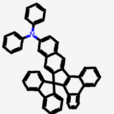 c1ccc(N(c2ccccc2)c2ccc3cc4c(cc3c2)C2(c3ccccc3-c3ccccc32)c2c-4c3ccccc3c3ccccc23)cc1